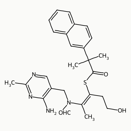 C/C(=C(\CCO)SC(=O)C(C)(C)c1ccc2ccccc2c1)N(C=O)Cc1cnc(C)nc1N